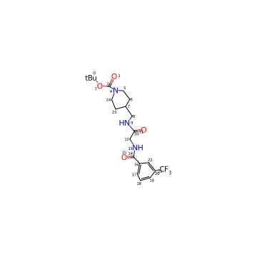 CC(C)(C)OC(=O)N1CCC(CNC(=O)CNC(=O)c2cccc(C(F)(F)F)c2)CC1